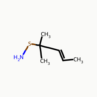 CC=CC(C)(C)SN